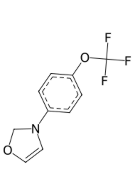 FC(F)(F)Oc1ccc(N2C=COC2)cc1